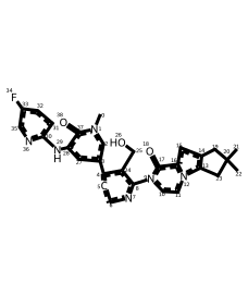 Cn1cc(-c2ccnc(-n3ccn4c5c(cc4c3=O)CC(C)(C)C5)c2CO)cc(Nc2ccc(F)cn2)c1=O